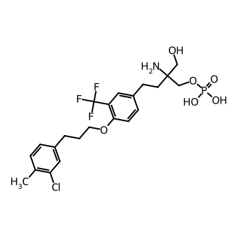 Cc1ccc(CCCOc2ccc(CCC(N)(CO)COP(=O)(O)O)cc2C(F)(F)F)cc1Cl